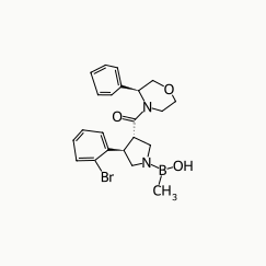 CB(O)N1C[C@@H](C(=O)N2CCOC[C@@H]2c2ccccc2)[C@H](c2ccccc2Br)C1